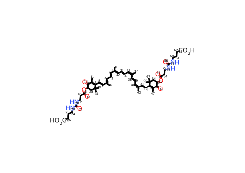 CC(C=CC=C(C)C=CC1=C(C)C(=O)C(OC(=O)CCNC(=O)NCCCC(=O)O)CC1(C)C)=CC=CC=C(C)C=CC=C(C)C=CC1=C(C)C(=O)C(OC(=O)CCNC(=O)NCCCC(=O)O)CC1(C)C